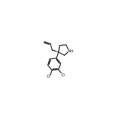 C=CC[C@@]1(c2ccc(Cl)c(Cl)c2)CCNC1